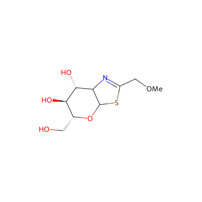 COCC1=NC2C(O[C@H](CO)[C@@H](O)[C@@H]2O)S1